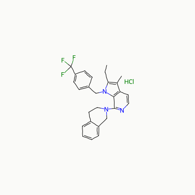 CCc1c(C)c2ccnc(N3CCc4ccccc4C3)c2n1Cc1ccc(C(F)(F)F)cc1.Cl